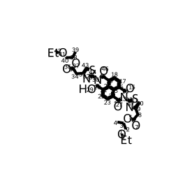 CCOCC(C)OC(=O)Cc1csc(N2C(=O)c3ccc4c5c(ccc(c35)C2=O)C(O)N(c2nc(CC(=O)OC(C)COCC)cs2)C4=O)n1